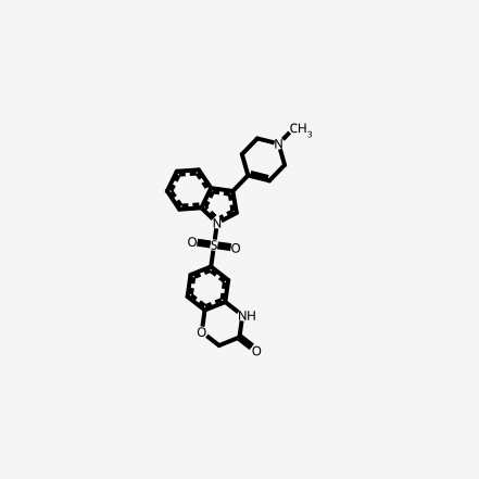 CN1CC=C(c2cn(S(=O)(=O)c3ccc4c(c3)NC(=O)CO4)c3ccccc23)CC1